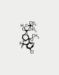 COC1(c2ncc(Cl)cc2C(F)(F)F)CCCN(C(=O)OC(C)(C)C)C1